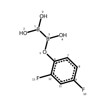 OB(O)B(O)Oc1ccc(F)cc1F